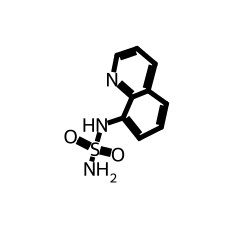 NS(=O)(=O)Nc1cccc2cccnc12